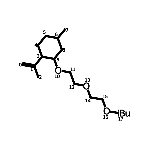 C=C(C)C1CCC(C)CC1OCCOCCOC(C)CC